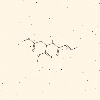 C/C=C/C(=O)NC(CC(=O)OC)C(=O)OC